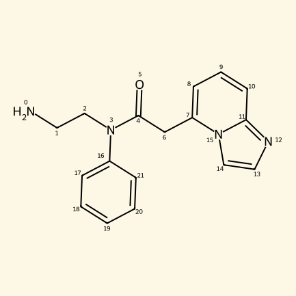 NCCN(C(=O)Cc1cccc2nccn12)c1ccccc1